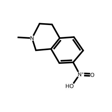 CN1CCc2ccc([N+](=O)O)cc2C1